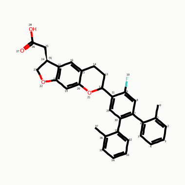 Cc1ccccc1-c1cc(F)c(C2CCc3cc4c(cc3O2)OC[C@H]4CC(=O)O)cc1-c1ccccc1C